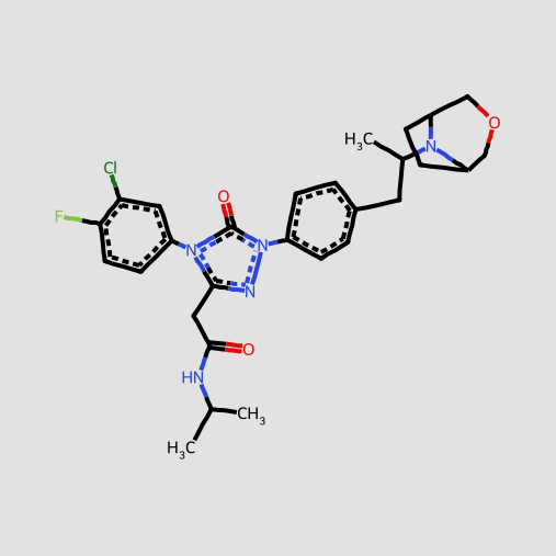 CC(C)NC(=O)Cc1nn(-c2ccc(CC(C)N3C4CCC3COC4)cc2)c(=O)n1-c1ccc(F)c(Cl)c1